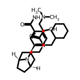 CN(C)CC(O)C(=O)N(CCN1[C@@H]2CC[C@H]1C[C@@H](c1cccc(C(N)=O)c1)C2)CC1CCCCC1